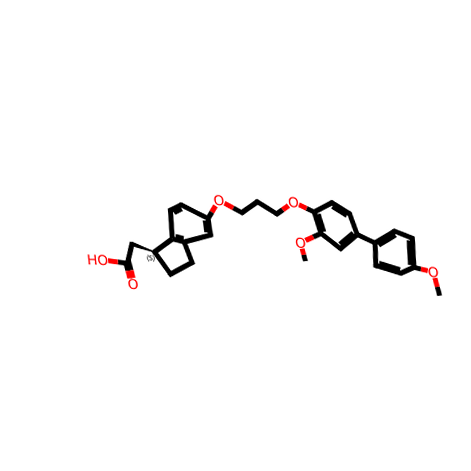 COc1ccc(-c2ccc(OCCCOc3ccc4c(c3)CC[C@H]4CC(=O)O)c(OC)c2)cc1